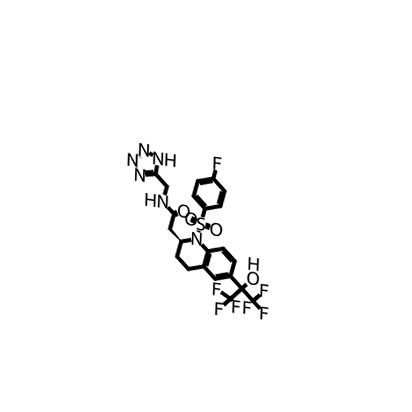 O=C(C[C@@H]1CCc2cc(C(O)(C(F)(F)F)C(F)(F)F)ccc2N1S(=O)(=O)c1ccc(F)cc1)NCc1nnn[nH]1